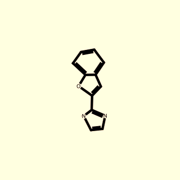 C1=CN=C(c2cc3ccccc3o2)[N]1